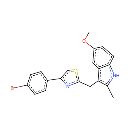 COc1ccc2[nH]c(C)c(Cc3nc(-c4ccc(Br)cc4)cs3)c2c1